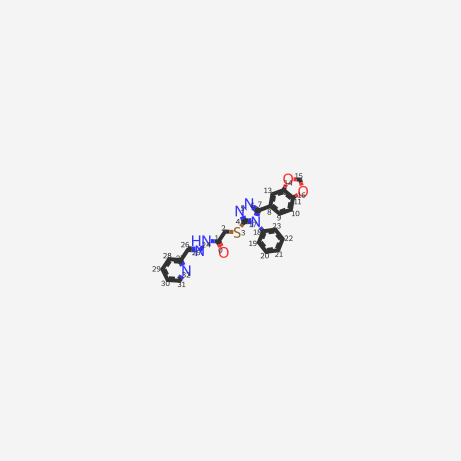 O=C(CSc1nnc(-c2ccc3c(c2)OCO3)n1-c1ccccc1)NN=Cc1ccccn1